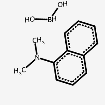 CN(C)c1cccc2ccccc12.OBO